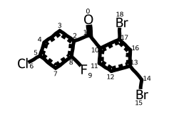 O=C(c1ccc(Cl)cc1F)c1ccc(CBr)cc1Br